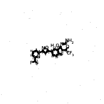 C[C@@]1(c2cc(-c3cc(-c4cccc(C(F)F)n4)no3)ccc2F)C[C@@H](C(F)(F)F)OC(N)=N1